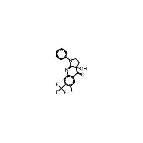 Cc1cc2c(cc1C(F)(F)F)N=C1N(c3ccccc3)CCC1(O)C2=O